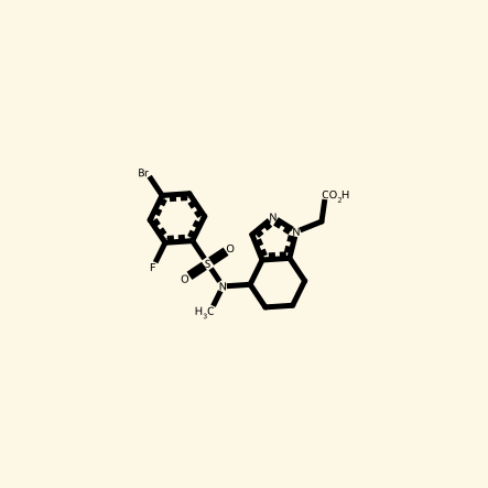 CN(C1CCCc2c1cnn2CC(=O)O)S(=O)(=O)c1ccc(Br)cc1F